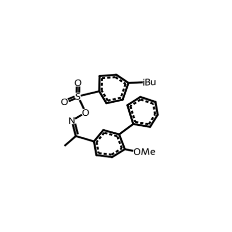 CCC(C)c1ccc(S(=O)(=O)ON=C(C)c2ccc(OC)c(-c3ccccc3)c2)cc1